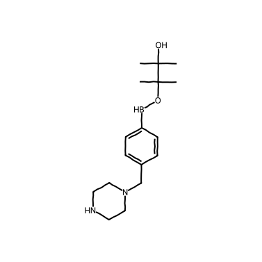 CC(C)(O)C(C)(C)OBc1ccc(CN2CCNCC2)cc1